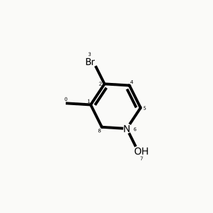 CC1=C(Br)C=CN(O)C1